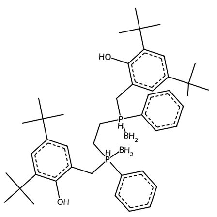 B[PH](CC[PH](B)(Cc1cc(C(C)(C)C)cc(C(C)(C)C)c1O)c1ccccc1)(Cc1cc(C(C)(C)C)cc(C(C)(C)C)c1O)c1ccccc1